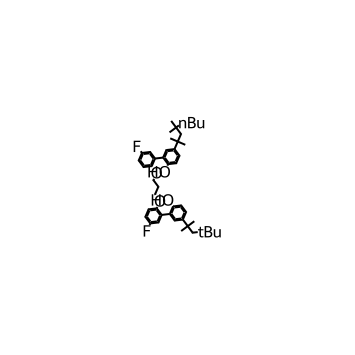 CCCCC(C)(C)CC(C)(C)c1ccc(O)c(-c2cc(F)ccc2OCCCOc2ccc(F)cc2-c2cc(C(C)(C)CC(C)(C)C)ccc2O)c1